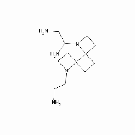 NCCN1CCC12CCC21CCN1C(N)CN